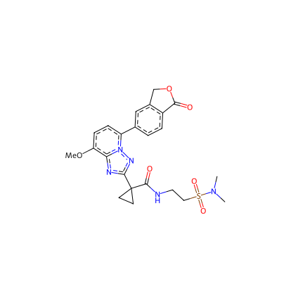 COc1ccc(-c2ccc3c(c2)COC3=O)n2nc(C3(C(=O)NCCS(=O)(=O)N(C)C)CC3)nc12